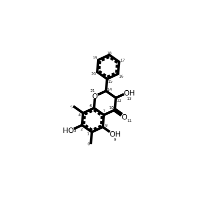 Cc1c(O)c(C)c2c(c1O)C(=O)C(O)C(c1ccccc1)O2